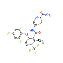 Cc1c(C(F)(F)F)ccc(Oc2c(F)cc(F)cc2F)c1C(=O)Nc1ccc(C(N)=O)nc1